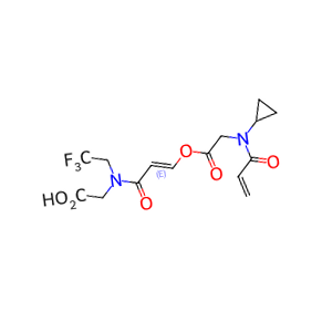 C=CC(=O)N(CC(=O)O/C=C/C(=O)N(CC(=O)O)CC(F)(F)F)C1CC1